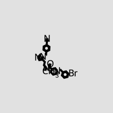 CN(CCc1cncn1Cc1ccc(C#N)cc1)C(=O)C1CCCN(Cc2cccc(Br)c2)C1